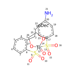 CCCCCCCCCCCCc1ccccc1[S](=O)(=O)[Ti]1(=[O])([S](=O)(=O)c2ccc(N)cc2)[O]CC[O]1